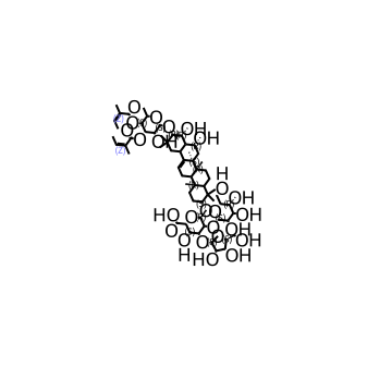 C/C=C(/C)C(=O)OC1C(O)[C@H](O[C@H]2[C@H](O)C3C(CC2(C)C)C2=CCC4[C@@]5(C)CC[C@H](O[C@@H]6OC(C(=O)O)[C@@H](O)C(O[C@@H]7O[C@@H](CO)C(O)C7O)C6O[C@@H]6OC(CO)[C@H](O)C(O)C6O)C(C)(C)C5CC[C@@]4(C)[C@]2(C)C[C@H]3O)OC(C)[C@@H]1OC(=O)/C(C)=C\C